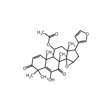 CC(=O)OC1CC2(C)C(c3ccoc3)CC3OC32C2(C)C(=O)C(O)=C3C(C)(C)C(=O)C=CC3(C)C12